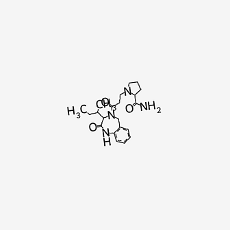 CCC(C)C1C(=O)Nc2ccccc2CN1C(=O)CCN1CCCC1C(N)=O